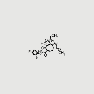 CCN1C[C@]2(C[C@H]2COC)C2CC/C=C(/C(=O)NCc3ccc(F)cc3F)C(=O)/C(O)=C\2C1=O